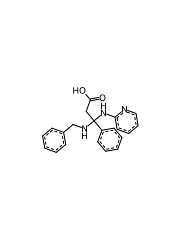 O=C(O)CC(NCc1ccccc1)(Nc1ccccn1)c1ccccc1